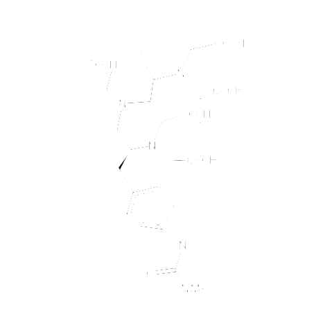 CNC(=O)Nc1ccc(C[C@@H](CN(CC(=O)O)CC(C)N(CC(=O)O)CC(=O)O)N(CC(=O)O)CC(=O)O)cc1